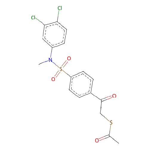 CC(=O)SCC(=O)c1ccc(S(=O)(=O)N(C)c2ccc(Cl)c(Cl)c2)cc1